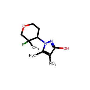 Cc1c([N+](=O)[O-])c(O)nn1C1CCOCC1(C)F